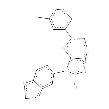 Cc1nc2ncc(-c3ccnc(N)c3)nc2n1-c1ccc2[nH]cnc2c1